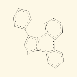 c1ccc(-c2cnc3c4ccccc4c4ccccc4n23)cc1